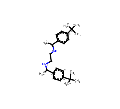 CC(NCCNC(C)c1ccc(C(C)(C)C)cc1)c1ccc(C(C)(C)C)cc1